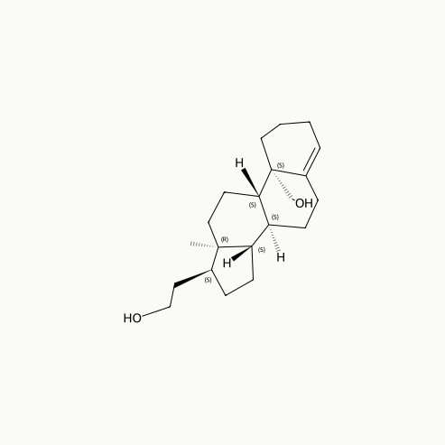 C[C@]12CC[C@H]3[C@@H](CCC4=CCCC[C@@]43CO)[C@@H]1CC[C@H]2CCO